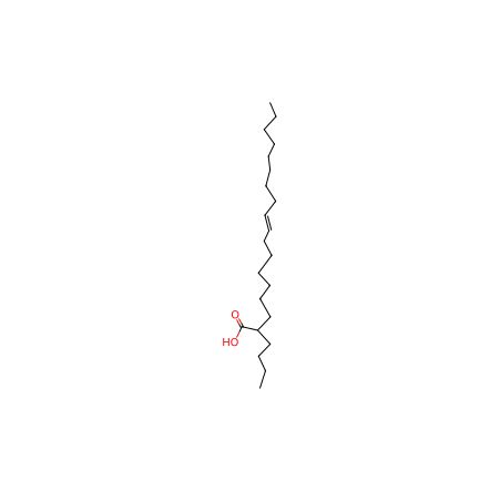 CCCCCCCCC=CCCCCCCC(CCCC)C(=O)O